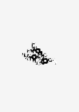 CC1CC2CC(C)(F)CC(NC(=O)c3cc4ccc(C(=N)N)cc4n3Cc3ccc(C(N)=O)cc3)(C1)C2